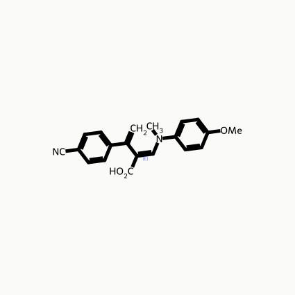 C=C(/C(=C\N(C)c1ccc(OC)cc1)C(=O)O)c1ccc(C#N)cc1